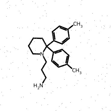 Cc1ccc(C2(c3ccc(C)cc3)CCCCN2CCCN)cc1